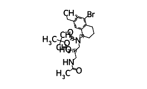 CCc1cc(Br)c2c(c1)[C@@H](N(C[C@@H](O)CNC(C)=O)C(=O)OC(C)(C)C)CCC2